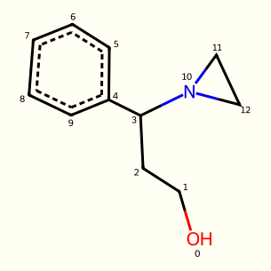 OCCC(c1ccccc1)N1CC1